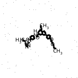 CCCCOCCOc1ccc(-c2ccc3c(c2)C=C(C(=O)Nc2ccc(N(C)Cc4nncn4CCC)cc2)CCN3CCC)cc1